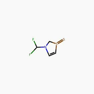 FC(F)N1C=CS(=S)C1